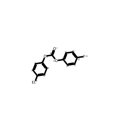 CCc1ccc(OC(=O)Oc2ccc(F)cc2)cc1